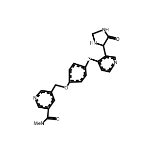 CNC(=O)c1cncc(COc2ccc(Sc3ccncc3C3NCNC3=O)cc2)c1